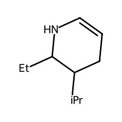 CCC1NC=CCC1C(C)C